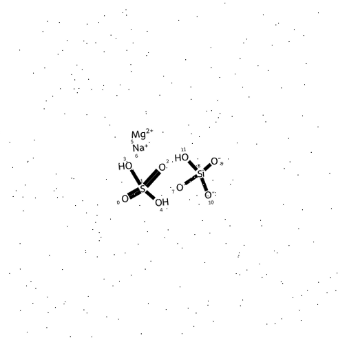 O=S(=O)(O)O.[Mg+2].[Na+].[O-][Si]([O-])([O-])O